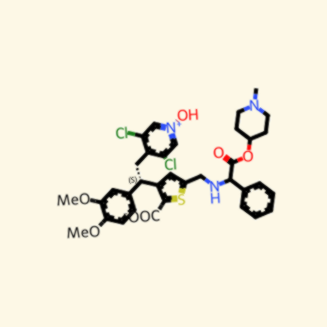 COc1ccc([C@H](Cc2c(Cl)c[n+](O)cc2Cl)c2cc(CNC(C(=O)OC3CCN(C)CC3)c3ccccc3)sc2C(=O)[O-])cc1OC